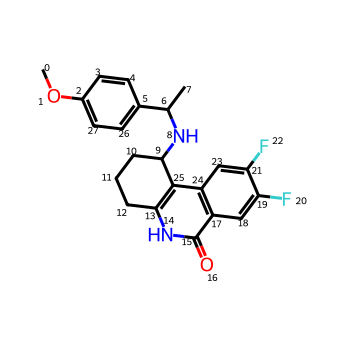 COc1ccc(C(C)NC2CCCc3[nH]c(=O)c4cc(F)c(F)cc4c32)cc1